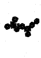 c1ccc(-c2ccc(-c3cc(-c4ccc5sc6c(-c7nc(-c8ccccc8)nc(-c8ccccc8)n7)cccc6c5c4)nc(-c4ccccc4)n3)cc2)cc1